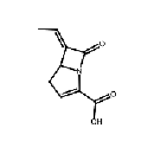 C/C=C1/C(=O)N2C(C(=O)O)=CCC12